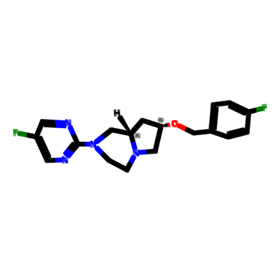 Fc1ccc(CO[C@H]2C[C@H]3CN(c4ncc(F)cn4)CCN3C2)cc1